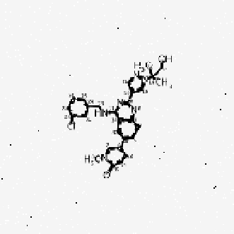 Cn1cc(-c2ccc3nc(-c4cnn(C(C)(C)CO)c4)nc(NCc4cccc(Cl)c4)c3c2)ccc1=O